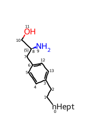 CCCCCCCCCc1ccc(C[C@H](N)CO)cc1